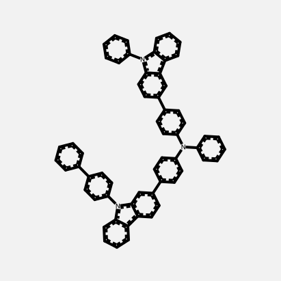 c1ccc(-c2ccc(-n3c4ccccc4c4ccc(-c5ccc(N(c6ccccc6)c6ccc(-c7ccc8c(c7)c7ccccc7n8-c7ccccc7)cc6)cc5)cc43)cc2)cc1